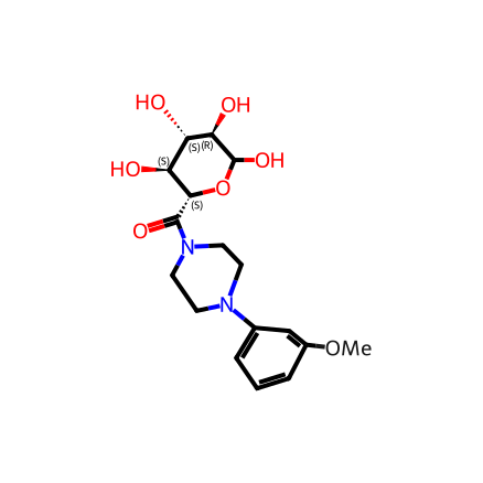 COc1cccc(N2CCN(C(=O)[C@H]3OC(O)[C@H](O)[C@@H](O)[C@@H]3O)CC2)c1